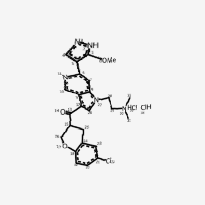 COc1[nH]ncc1-c1cc2c(cn1)c(C(=O)C1COc3ccc(Cl)cc3C1)cn2CCN(C)C.Cl.Cl